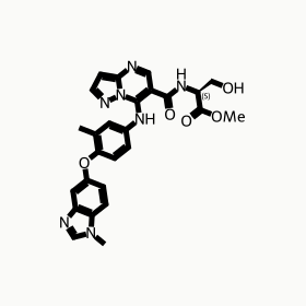 COC(=O)[C@H](CO)NC(=O)c1cnc2ccnn2c1Nc1ccc(Oc2ccc3c(c2)ncn3C)c(C)c1